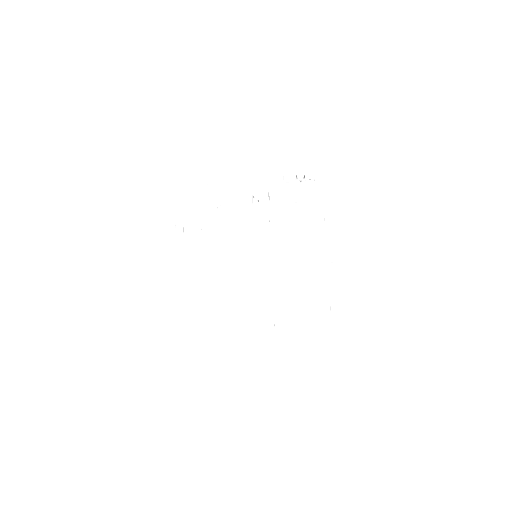 CCCCOC(=O)NC(C)(C(=O)OC)c1ccc(Cl)c(Cl)c1